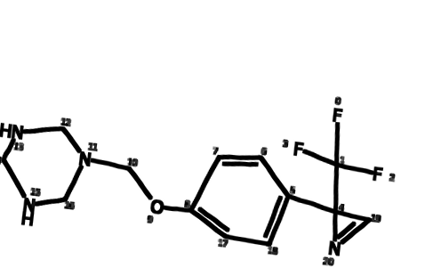 FC(F)(F)C1(c2ccc(OCN3CNCNC3)cc2)C=N1